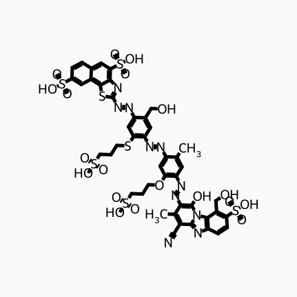 Cc1cc(N=Nc2c(C)c(C#N)c3nc4ccc(S(=O)(=O)O)c(CO)c4n3c2O)c(OCCCS(=O)(=O)O)cc1N=Nc1cc(CO)c(N=Nc2nc3c(S(=O)(=O)O)cc4ccc(S(=O)(=O)O)cc4c3s2)cc1SCCCS(=O)(=O)O